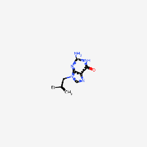 C=C(CC)Cn1cnc2c(=O)[nH]c(N)nc21